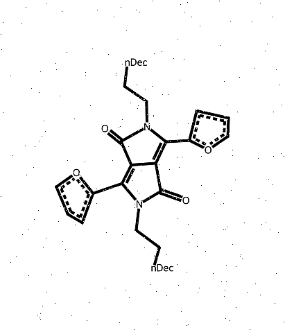 CCCCCCCCCCCCN1C(=O)C2=C(c3ccco3)N(CCCCCCCCCCCC)C(=O)C2=C1c1ccco1